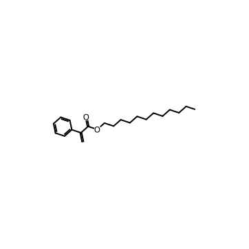 C=C(C(=O)OCCCCCCCCCCCC)c1ccccc1